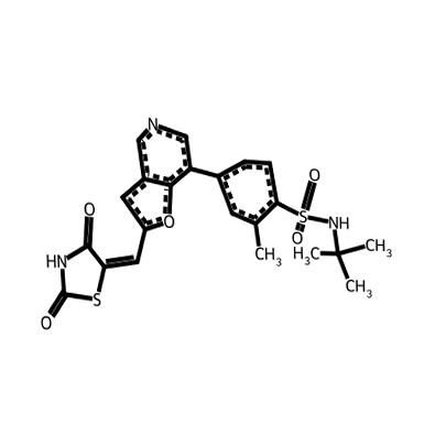 Cc1cc(-c2cncc3cc(C=C4SC(=O)NC4=O)oc23)ccc1S(=O)(=O)NC(C)(C)C